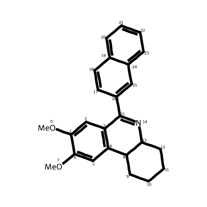 COc1cc2c(cc1OC)C1CCCCC1N=C2c1ccc2ccccc2c1